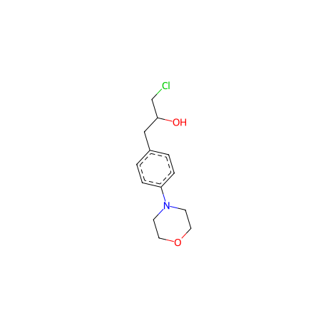 OC(CCl)Cc1ccc(N2CCOCC2)cc1